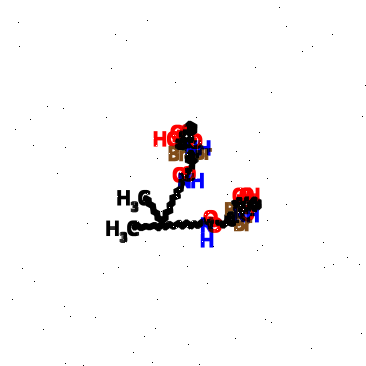 CCCCCCCC(CCCCCCCCCCNC(=O)OCCc1cc(Br)c(Nc2ccc(O)c3c2C(=O)c2ccccc2C3=O)c(Br)c1)C(CCCCCCC)CCCCCCCCCCNC(=O)OCCc1cc(Br)c(Nc2ccc(O)c3c2C(=O)c2ccccc2C3=O)c(Br)c1